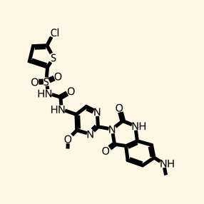 CNc1ccc2c(=O)n(-c3ncc(NC(=O)NS(=O)(=O)c4ccc(Cl)s4)c(OC)n3)c(=O)[nH]c2c1